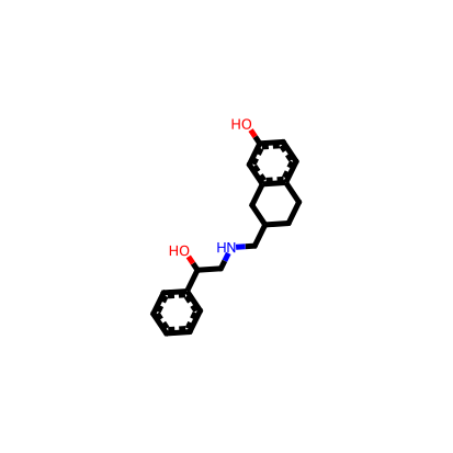 Oc1ccc2c(c1)CC(CNCC(O)c1ccccc1)CC2